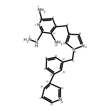 NNc1nc(N)cc(Cc2cnn(Cc3cccc(-c4cccnc4)c3)c2)c1N